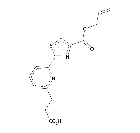 C=CCOC(=O)c1csc(-c2cccc(CCC(=O)O)n2)n1